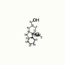 Cl.NC12CCC(CO)CC1Cc1ccccc12